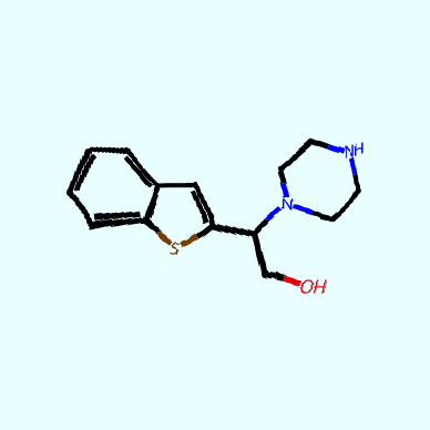 OCC(c1cc2ccccc2s1)N1CCNCC1